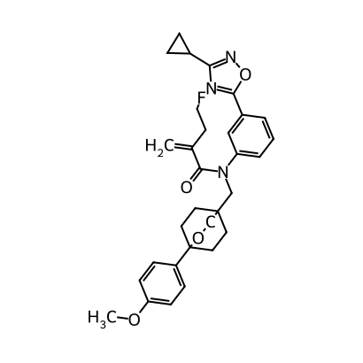 C=C(CCF)C(=O)N(CC12CCC(c3ccc(OC)cc3)(CC1)OC2)c1cccc(-c2nc(C3CC3)no2)c1